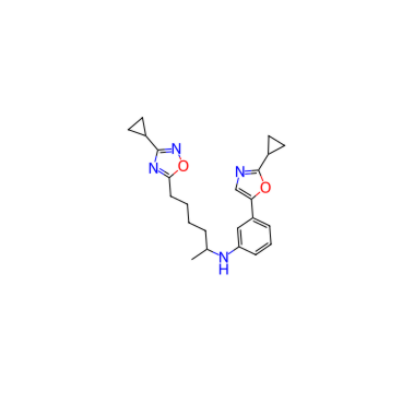 CC(CCCCc1nc(C2CC2)no1)Nc1cccc(-c2cnc(C3CC3)o2)c1